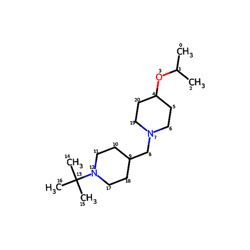 CC(C)OC1CCN(CC2CCN(C(C)(C)C)CC2)CC1